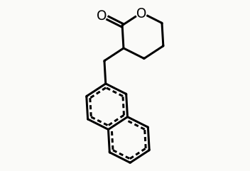 O=C1OCCCC1Cc1ccc2ccccc2c1